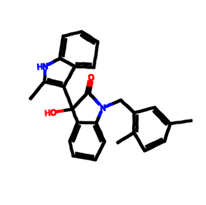 Cc1ccc(C)c(CN2C(=O)C(O)(c3c(C)[nH]c4ccccc34)c3ccccc32)c1